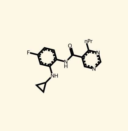 CCCc1ncncc1C(=O)Nc1ccc(F)cc1NC1CC1